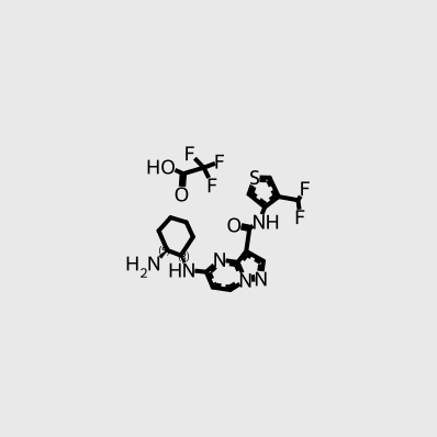 N[C@H]1CCCC[C@H]1Nc1ccn2ncc(C(=O)Nc3cscc3C(F)F)c2n1.O=C(O)C(F)(F)F